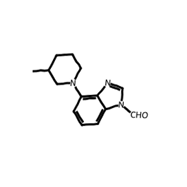 CC1CCCN(c2cccc3c2ncn3C=O)C1